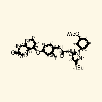 COc1cccc(-n2nc(C(C)(C)C)cc2NC(=O)Nc2ccc(Oc3ccnc4[nH]c(=O)cnc34)cc2F)c1